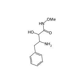 CONC(=O)C(O)C(N)Cc1ccccc1